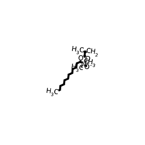 C=C(C)C(=O)OC(CCCCCCCCCCC)[N+](C)(C)[O-]